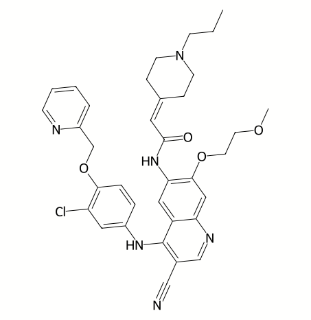 CCCN1CCC(=CC(=O)Nc2cc3c(Nc4ccc(OCc5ccccn5)c(Cl)c4)c(C#N)cnc3cc2OCCOC)CC1